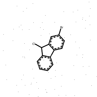 ClC1c2ccccc2-c2ccc(Br)cc21